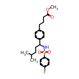 COC(=O)CCCc1ccc(C(CCC(C)C)NS(=O)(=O)c2ccc(F)cc2)cc1